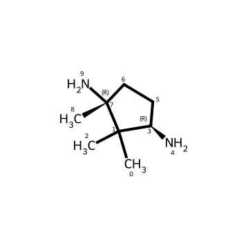 CC1(C)[C@H](N)CC[C@@]1(C)N